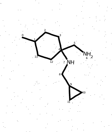 CC1CCC(CN)(NCC2CC2)CC1